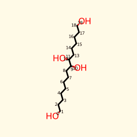 OCCCCCCCCC(O)C(O)CCCCCCO